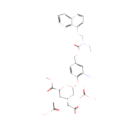 CCN(COc1cccc2ccccc12)C(=O)OCc1ccc(O[C@@H]2O[C@H](C(=O)OC)[C@@H](CC(=O)O)[C@H](CC(=O)O)[C@H]2CC(=O)O)c(N)c1